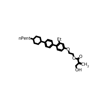 C=C(CO)C(=O)OCCOc1ccc(-c2ccc(C3CCC(CCCCC)CC3)cc2)c(CC)c1